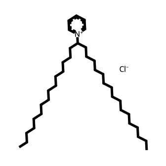 CCCCCCCCCCCCCCCCC(CCCCCCCCCCCCCCC)[n+]1ccccc1.[Cl-]